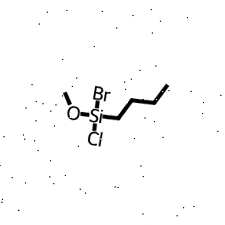 CCCC[Si](Cl)(Br)OC